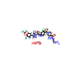 Cn1c(-c2ccc(OC(F)F)c(F)c2F)cnc1C(=O)Nc1ccc(C(=O)N2CCC(C(=O)NCCN)CC2)c(Cl)c1.O=CO